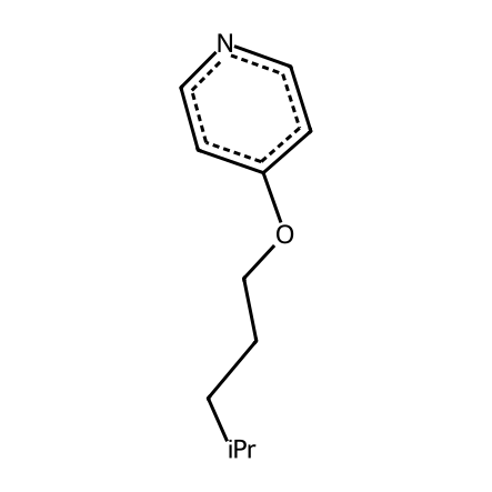 CC(C)CCCOc1ccncc1